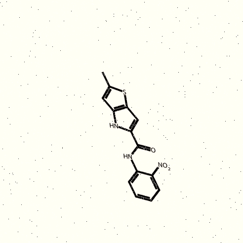 Cc1cc2[nH]c(C(=O)Nc3ccccc3[N+](=O)[O-])cc2s1